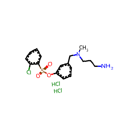 CN(CCCN)Cc1cccc(OS(=O)(=O)c2ccccc2Cl)c1.Cl.Cl